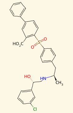 C[C@H](Cc1ccc(S(=O)(=O)c2ccc(-c3ccccc3)cc2C(=O)O)cc1)NC[C@@H](O)c1cccc(Cl)c1